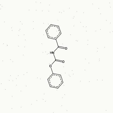 O=C(NC(=O)c1ccccc1)Oc1ccccc1